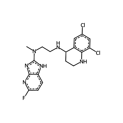 CN(CCNC1CCNc2c(Cl)cc(Cl)cc21)c1nc2nc(F)ccc2[nH]1